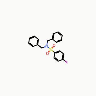 O=S(=O)(c1ccc(I)cc1)N(Cc1ccccc1)Cc1ccccc1